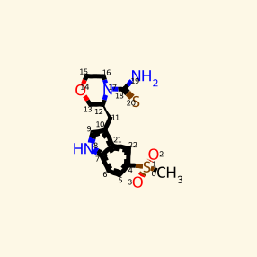 CS(=O)(=O)c1ccc2[nH]cc(C[C@H]3COCCN3C(N)=S)c2c1